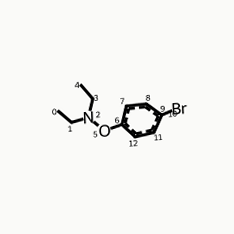 CCN(CC)Oc1ccc(Br)cc1